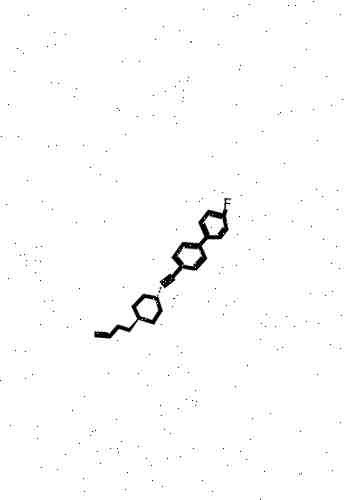 C=CCC[C@H]1CC[C@H](C#Cc2ccc(-c3ccc(F)cc3)cc2)CC1